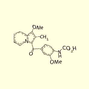 COc1cc(C(=O)c2c(C)c(OC)c3ccccn23)ccc1NC(=O)O